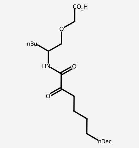 CCCCCCCCCCCCCCC(=O)C(=O)NC(CCCC)COCC(=O)O